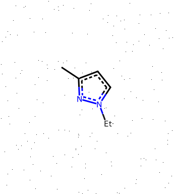 C[CH]n1ccc(C)n1